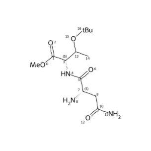 COC(=O)[C@@H](NC(=O)[C@@H](N)CC(N)=O)C(C)OC(C)(C)C